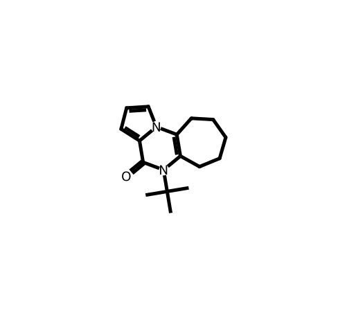 CC(C)(C)n1c2c(n3cccc3c1=O)CCCCC2